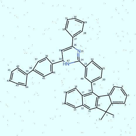 CC1(C)c2ccccc2-c2c1cc1ccccc1c2-c1cccc(C2=NC(c3ccccc3)=CC(c3ccc(-c4ccccc4)cc3)N2)c1